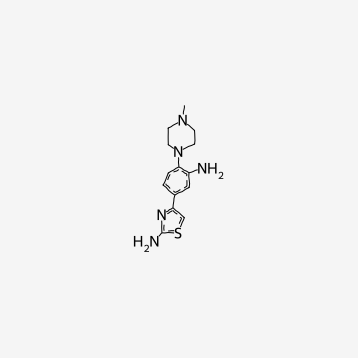 CN1CCN(c2ccc(-c3csc(N)n3)cc2N)CC1